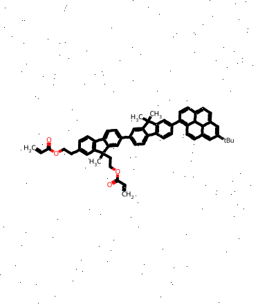 C=CC(=O)OCCc1ccc2c(c1)C(C)(CCOC(=O)C=C)c1cc(-c3ccc4c(c3)C(C)(C)c3cc(C5=C6C=CC7=CC(C(C)(C)C)=CC8=CC=C(C=C5)C6C87)ccc3-4)ccc1-2